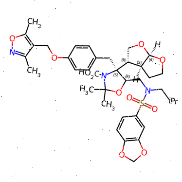 Cc1noc(C)c1COc1ccc(C[C@]2([C@@H]3CO[C@H]4OCC[C@H]43)[C@@H](CN(CC(C)C)S(=O)(=O)c3ccc4c(c3)OCO4)OC(C)(C)N2C(=O)O)cc1